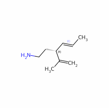 C=C(C)[C@@H](/C=C/C)CCN